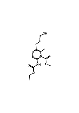 CCOC(=O)Nc1ccc(CC=NO)c(C)c1C(=O)OC